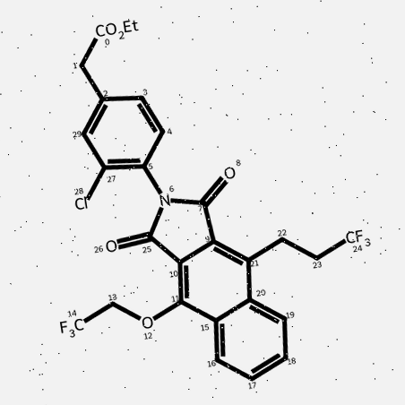 CCOC(=O)Cc1ccc(N2C(=O)c3c(c(OCC(F)(F)F)c4ccccc4c3CCC(F)(F)F)C2=O)c(Cl)c1